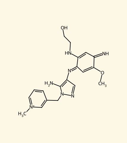 COC1=C/C(=N\c2cnn(Cc3ccc[n+](C)c3)c2N)C(NCCO)=CC1=N